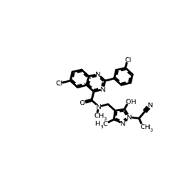 Cc1nn(C(C)C#N)c(O)c1CN(C)C(=O)c1nc(-c2cccc(Cl)c2)nc2ccc(Cl)cc12